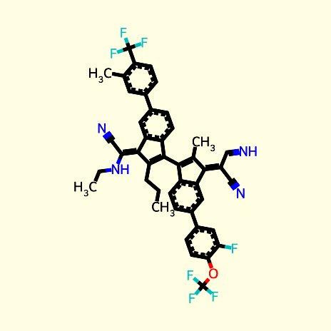 CCCC1=C(C2=C(C)/C(=C(/C#N)C=N)c3cc(-c4ccc(OC(F)(F)F)c(F)c4)ccc32)c2ccc(-c3ccc(C(F)(F)F)c(C)c3)cc2/C1=C(\C#N)NCC